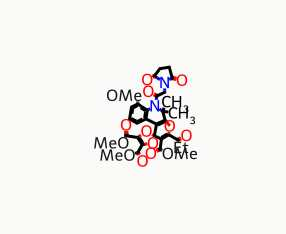 CCC(=O)C1=C(C(=O)OC)C2(OC(C(=O)OC)=C(C(=O)OC)O2)C2=C(O1)C(C)(C)N(C(=O)CN1C(=O)CCC1=O)c1c(OC)cccc12